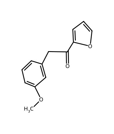 COc1cccc(CC(=O)c2ccco2)c1